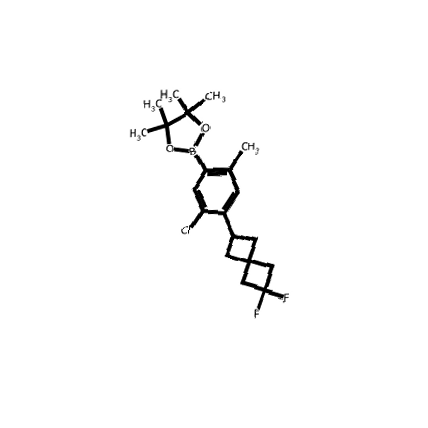 Cc1cc(C2CC3(C2)CC(F)(F)C3)c(Cl)cc1B1OC(C)(C)C(C)(C)O1